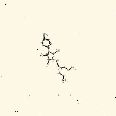 CCC1C(c2ccc(C(F)(F)F)cc2)=C(O)C(=O)N1CCN(CCN)CCN